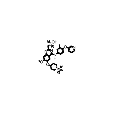 COc1cc2nc(CS(=O)(=O)O)nc(Nc3ccc(Oc4cccnc4)c(C)c3)c2cc1OC1CCN(S(C)(=O)=O)CC1